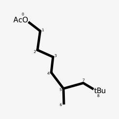 CC(=O)OCCCCC(C)CC(C)(C)C